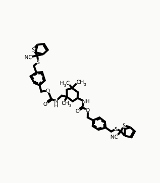 CC1(C)CC(NC(=O)OCc2ccc(CSC3(C#N)SC4C=CC3C4)cc2)CC(C)(CNC(=O)OCc2ccc(CSC3(C#N)SC4C=CC3C4)cc2)C1